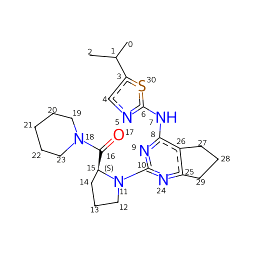 CC(C)c1cnc(Nc2nc(N3CCC[C@H]3C(=O)N3CCCCC3)nc3c2CCC3)s1